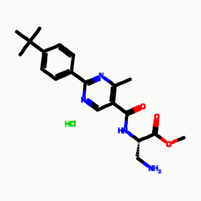 COC(=O)[C@H](CN)NC(=O)c1cnc(-c2ccc(C(C)(C)C)cc2)nc1C.Cl